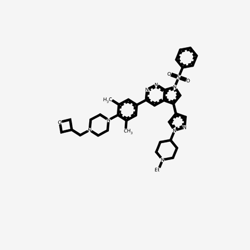 CCN1CCC(n2cc(-c3cn(S(=O)(=O)c4ccccc4)c4nnc(-c5cc(C)c(N6CCN(CC7COC7)CC6)c(C)c5)cc34)cn2)CC1